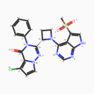 CS(=O)(=O)c1c[nH]c2ncnc(N3CC[C@H]3c3nn4ccc(Cl)c4c(=O)n3-c3ccccc3)c12